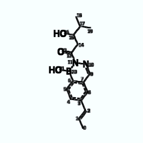 C/C=C/c1ccc2c(c1)C=NN(C(=O)CC(O)C(C)C)B2O